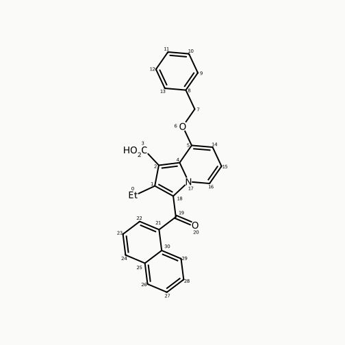 CCc1c(C(=O)O)c2c(OCc3ccccc3)cccn2c1C(=O)c1cccc2ccccc12